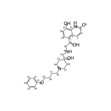 O=c1ccc2c([C@@H](O)CNCC3(O)CCN(CCCCOc4ccccc4)CC3)ccc(O)c2[nH]1